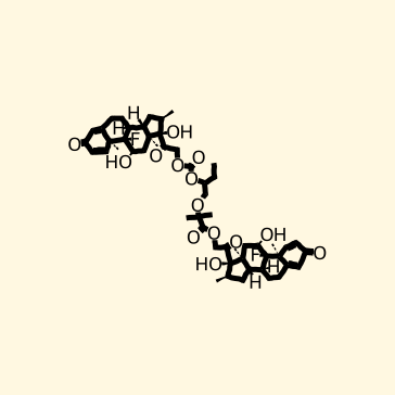 CCC(COC(C)(C)C(=O)OCC(=O)[C@@]1(O)[C@H](C)C[C@H]2[C@@H]3CCC4=CC(=O)C=C[C@]4(C)[C@@]3(F)[C@@H](O)C[C@@]21C)OC(=O)OCC(=O)[C@@]1(O)[C@H](C)C[C@H]2[C@@H]3CCC4=CC(=O)C=C[C@]4(C)[C@@]3(F)[C@@H](O)C[C@@]21C